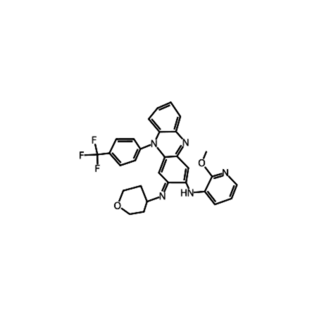 COc1ncccc1Nc1cc2nc3ccccc3n(-c3ccc(C(F)(F)F)cc3)c-2c/c1=N\C1CCOCC1